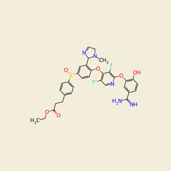 CCOC(=O)CCc1ccc([S+]([O-])c2ccc(Oc3c(F)cnc(Oc4cc(C(=N)N)ccc4O)c3F)c(C3N=CCN3C)c2)cc1